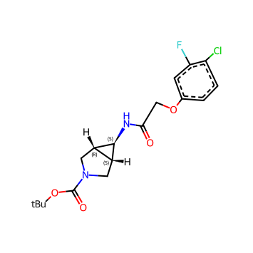 CC(C)(C)OC(=O)N1C[C@@H]2[C@H](C1)[C@H]2NC(=O)COc1ccc(Cl)c(F)c1